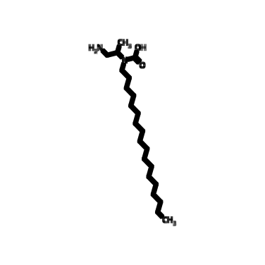 CCCCCCCCCCCCCCCCCCN(C(=O)O)C(C)CN